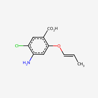 CC=COc1cc(N)c(Cl)cc1C(=O)O